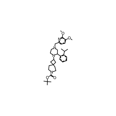 COc1ccc(CN2CCN(C3CC4(CCN(C(=O)OC(C)(C)C)CC4)C3)C(c3ccccc3C(C)C)C2)nc1OC